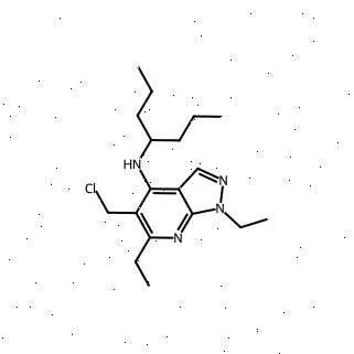 CCCC(CCC)Nc1c(CCl)c(CC)nc2c1cnn2CC